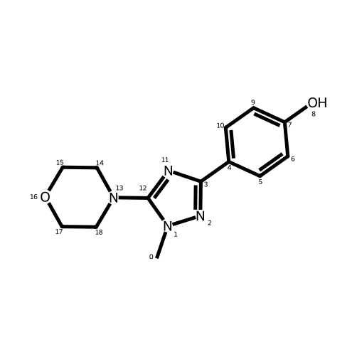 Cn1nc(-c2ccc(O)cc2)nc1N1CCOCC1